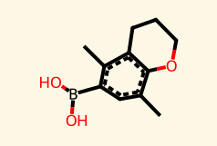 Cc1cc(B(O)O)c(C)c2c1OCCC2